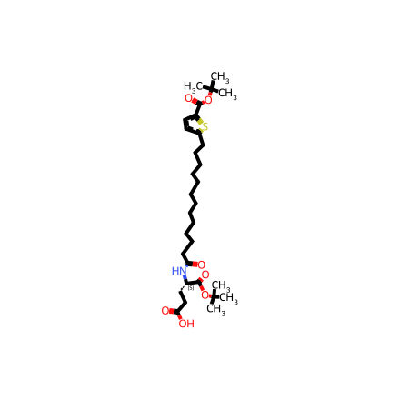 CC(C)(C)OC(=O)c1ccc(CCCCCCCCCCCCC(=O)N[C@@H](CCC(=O)O)C(=O)OC(C)(C)C)s1